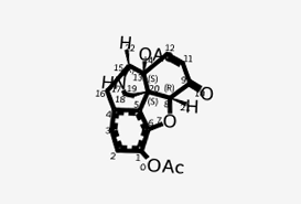 CC(=O)Oc1ccc2c3c1O[C@H]1C(=O)C=C[C@@]4(OC(C)=O)[C@@H](C2)NCC[C@]314